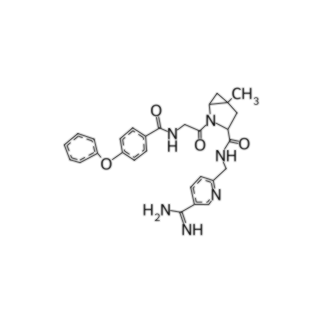 CC12CC(C(=O)NCc3ccc(C(=N)N)cn3)N(C(=O)CNC(=O)c3ccc(Oc4ccccc4)cc3)C1C2